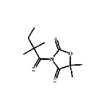 CCC(C)(C)C(=O)N1C(=O)C(C)(C)OC1=S